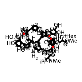 CCCCCCOC(CNC1(C)CC(OC2C(Oc3c4cc5cc3Oc3ccc(cc3Cl)[C@@H](O)[C@@H]3NC(=O)C(NC(=O)C5NC(=O)C(CC(N)=O)NC(=O)[C@@H](NC(=O)[C@@H](CC(C)C)NC)C(O)c5ccc(c(Cl)c5)O4)c4ccc(O)c(c4)-c4c(O)cc(O)cc4C(C(=O)O)NC3=O)OC(CO)C(O)C2O)OC(C)C1O)C(=O)OC